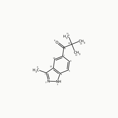 Cc1n[nH]c2ccc(C(=O)C(C)(C)C)cc12